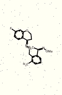 CO/N=C(/C(=O)O)c1cccc(C)c1CO/N=C1\CCOc2cc(F)ccc21